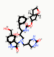 O=C1NCC(CN(C[C@@H](O)C(Cc2ccccc2)NC(=O)OC2C[C@@H]3CCO[C@@H]3C2)C2C(=O)Nc3ccc(CO)cc32)CN1